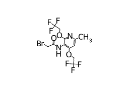 Cc1cc(OCC(F)(F)F)c(NC(=O)CBr)c(OCC(F)(F)F)n1